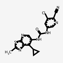 Cc1nc2c(C3CC3)c(NC(=O)Nc3cnc(C#N)c(Cl)c3)cnc2s1